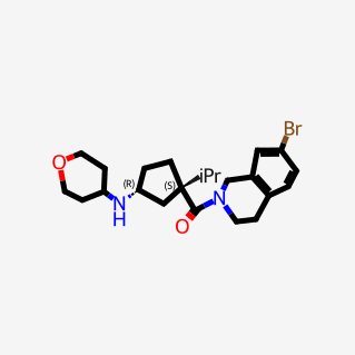 CC(C)[C@]1(C(=O)N2CCc3ccc(Br)cc3C2)CC[C@@H](NC2CCOCC2)C1